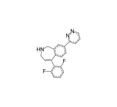 Fc1cccc(F)c1C1=CCNCc2cc(-c3cccnn3)ccc21